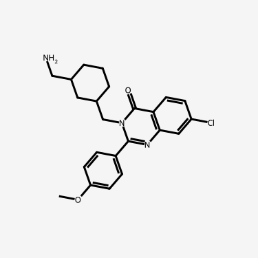 COc1ccc(-c2nc3cc(Cl)ccc3c(=O)n2CC2CCCC(CN)C2)cc1